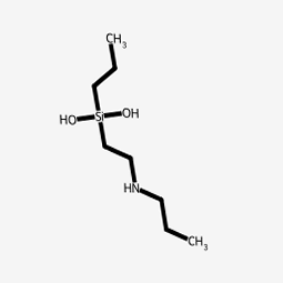 CCCNCC[Si](O)(O)CCC